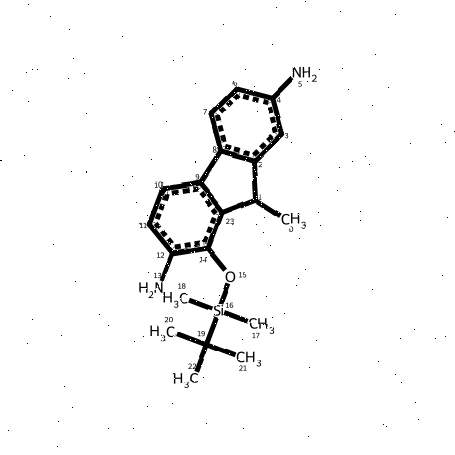 CC1c2cc(N)ccc2-c2ccc(N)c(O[Si](C)(C)C(C)(C)C)c21